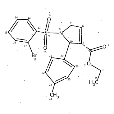 CCOC(=O)C1=CCN(S(=O)(=O)c2ccccc2Br)C1c1ccc(C)cc1